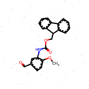 COc1ccc(C=O)cc1NC(=O)OCC1c2ccccc2-c2ccccc21